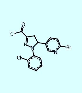 O=C(Cl)C1=NN(c2ccccc2Cl)C(c2ccc(Br)nc2)C1